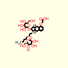 CCCCC[C@H](CC[C@H]1[C@@H]2Cc3cccc(OCC(=O)O)c3C[C@@H]2C[C@@H]1O[C@@H]1O[C@H](CO)[C@@H](O)[C@H](O)[C@H]1O)O[C@@H]1O[C@H](CO)[C@@H](O)[C@H](O)[C@H]1O